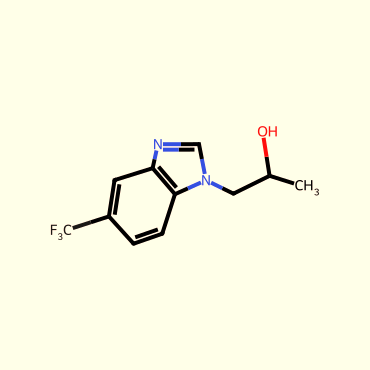 CC(O)Cn1cnc2cc(C(F)(F)F)ccc21